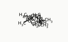 CCCO[Si](OCCC)(OCCC)C(CCSCCC([Si](C)(C)C)[Si](OCCC)(OCCC)OCCC)[Si](C)(C)C